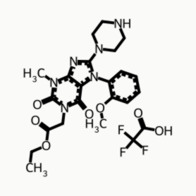 CCOC(=O)Cn1c(=O)c2c(nc(N3CCNCC3)n2-c2ccccc2OC)n(C)c1=O.O=C(O)C(F)(F)F